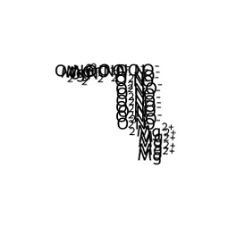 O=[N+]([O-])[O-].O=[N+]([O-])[O-].O=[N+]([O-])[O-].O=[N+]([O-])[O-].O=[N+]([O-])[O-].O=[N+]([O-])[O-].O=[N+]([O-])[O-].O=[N+]([O-])[O-].O=[N+]([O-])[O-].O=[N+]([O-])[O-].O=[N+]([O-])[O-].O=[N+]([O-])[O-].O=[N+]([O-])[O-].O=[N+]([O-])[O-].[Mg+2].[Mg+2].[Mg+2].[Mg+2].[Mg+2].[Mg+2].[Mg+2]